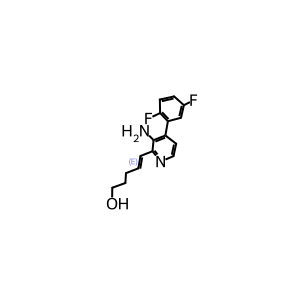 Nc1c(-c2cc(F)ccc2F)ccnc1/C=C/CCCO